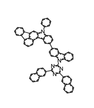 c1ccc(-n2c3ccc(-c4ccc5c(c4)c4ccccc4n5-c4nc(-c5ccc6ccccc6c5)nc(-c5ccc6ccccc6c5)n4)cc3c3c4cccc5c4c(cc32)-c2ccccc2-5)cc1